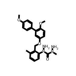 COc1ccc(-c2cc(OCc3c(C)cccc3N(N)C(=O)N(C)N)ccc2OC)cc1